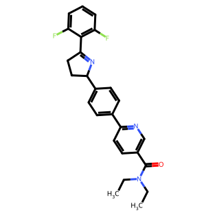 CCN(CC)C(=O)c1ccc(-c2ccc(C3CCC(c4c(F)cccc4F)=N3)cc2)nc1